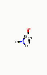 CC#N.CCN(CC)CC.CO